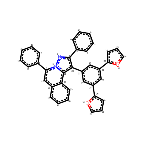 c1ccc(-c2nn3c(-c4ccccc4)cc4ccccc4c3c2-c2cc(-c3ccco3)cc(-c3ccco3)c2)cc1